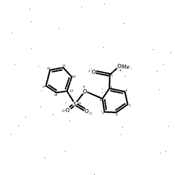 COC(=O)c1ccccc1OS(=O)(=O)c1ccccc1